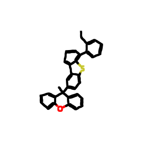 CCc1ccccc1-c1cccc2c1sc1ccc(C3(C)c4ccccc4Oc4ccccc43)cc12